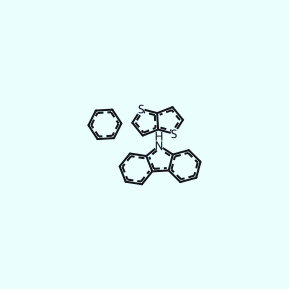 c1cc2sccc2s1.c1ccc2c(c1)[nH]c1ccccc12.c1ccccc1